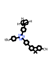 CC(C)(C)c1ccc(-c2nc(-c3ccc(-c4ccc5c(c4)-c4ccc(C#N)cc4C5(C)C)cc3)nc(-c3ccc(C45C[C@H]6C[C@@H](C4)C[C@@H](C5)C6)cc3)n2)cc1